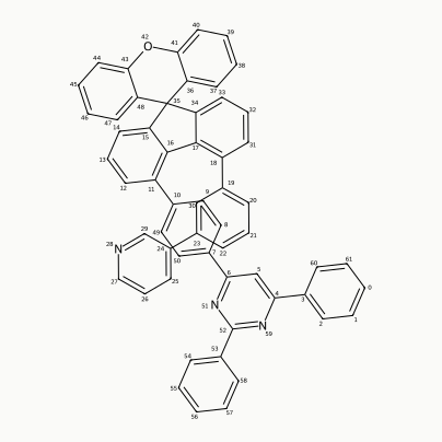 c1ccc(-c2cc(-c3ccc(-c4cccc5c4-c4c(-c6cccc(-c7cccnc7)c6)cccc4C54c5ccccc5Oc5ccccc54)cc3)nc(-c3ccccc3)n2)cc1